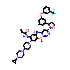 C=CC(=O)Nc1cc(Nc2cc(N3OCCC3c3cc(F)cc(Oc4cccc(C(F)(F)F)c4)c3)ncn2)c(OC)cc1N1CCC(N2CCN(C3CC3)CC2)CC1